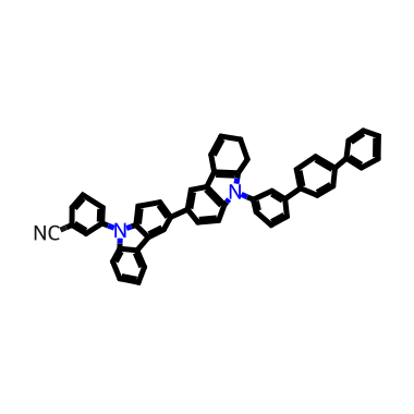 N#Cc1cccc(-n2c3ccccc3c3cc(-c4ccc5c(c4)c4c(n5-c5cccc(-c6ccc(-c7ccccc7)cc6)c5)CCC=C4)ccc32)c1